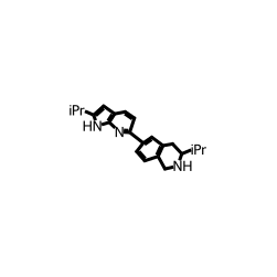 CC(C)c1cc2ccc(-c3ccc4c(c3)CC(C(C)C)NC4)nc2[nH]1